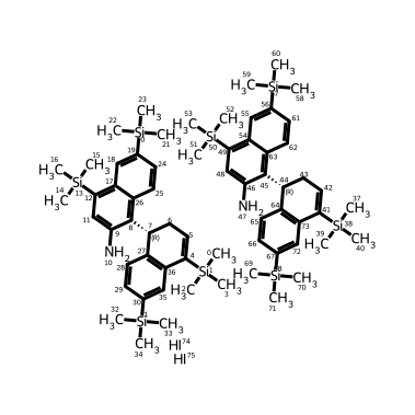 C[Si](C)(C)C1=CC[C@@H](c2c(N)cc([Si](C)(C)C)c3cc([Si](C)(C)C)ccc23)c2ccc([Si](C)(C)C)cc21.C[Si](C)(C)C1=CC[C@@H](c2c(N)cc([Si](C)(C)C)c3cc([Si](C)(C)C)ccc23)c2ccc([Si](C)(C)C)cc21.I.I